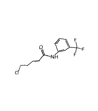 O=C(CCCCCl)Nc1cccc(C(F)(F)F)c1